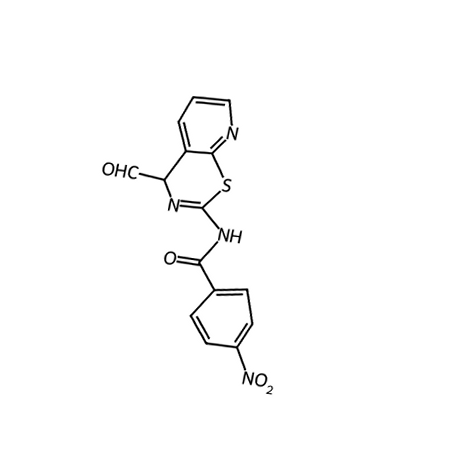 O=CC1N=C(NC(=O)c2ccc([N+](=O)[O-])cc2)Sc2ncccc21